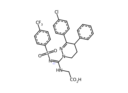 O=C(O)CN/C(=N/S(=O)(=O)c1ccc(C(F)(F)F)cc1)N1CCC(c2ccccc2)C(c2ccc(Cl)cc2)=N1